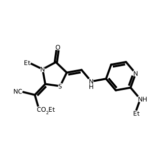 CCNc1cc(NC=c2sc(=C(C#N)C(=O)OCC)n(CC)c2=O)ccn1